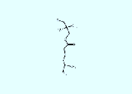 CC(C)CCCC(=O)OCC(C)(C)CO